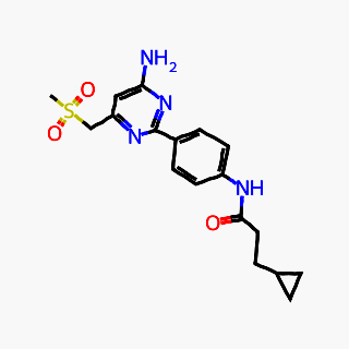 CS(=O)(=O)Cc1cc(N)nc(-c2ccc(NC(=O)CCC3CC3)cc2)n1